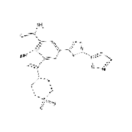 NC(=O)c1cc(-c2ccc(-c3ccno3)s2)cc2c(C3CCS(=O)(=O)CC3)c[nH]c12